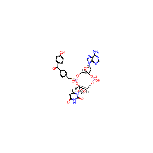 CO[C@H]1[C@H]2OP(=O)(SCc3ccc(C(=O)c4ccc(O)cc4)cc3)OC[C@H]3O[C@@H](n4cnc5c(N)ncnc54)CC3OP(=O)(O)OC[C@H]1O[C@H]2n1ccc(=O)[nH]c1=O